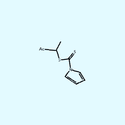 CC(=O)C(C)SC(=S)n1cccc1